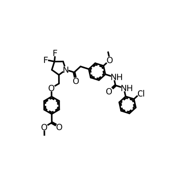 COC(=O)c1ccc(OCC2CC(F)(F)CN2C(=O)Cc2ccc(NC(=O)Nc3ccccc3Cl)c(OC)c2)cc1